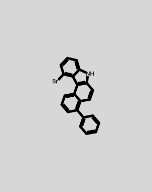 Brc1cccc2[nH]c3ccc4c(-c5ccccc5)cccc4c3c12